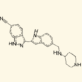 N#Cc1ccc2c(-c3cc4cc(CNC5CCNCC5)ccc4[nH]3)n[nH]c2c1